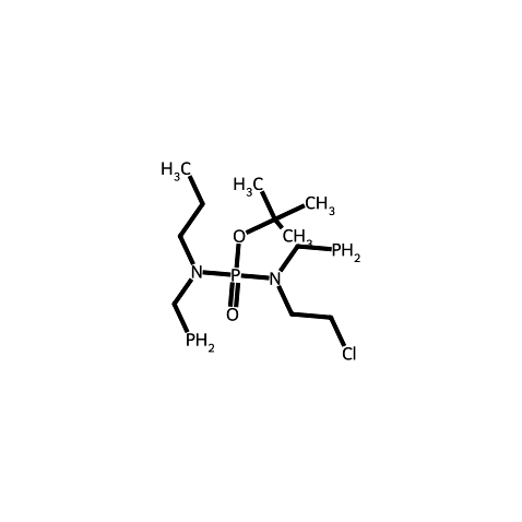 CCCN(CP)P(=O)(OC(C)(C)C)N(CP)CCCl